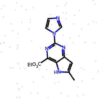 CCOC(=O)c1nc(-n2ccnc2)nc2cc(C)[nH]c12